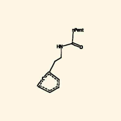 [CH2]CCCCC(=O)NCCc1ccccc1